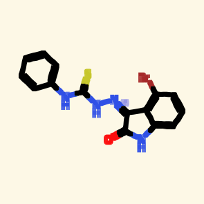 O=C1Nc2cccc(Br)c2/C1=N/NC(=S)Nc1ccccc1